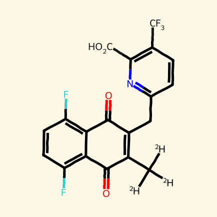 [2H]C([2H])([2H])C1=C(Cc2ccc(C(F)(F)F)c(C(=O)O)n2)C(=O)c2c(F)ccc(F)c2C1=O